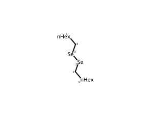 CCCCCCC[Se][Se]CCCCCCC